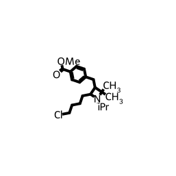 COC(=O)c1ccc(CC2C(CCCCCl)N(C(C)C)C2(C)C)cc1